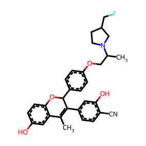 CC1=C(c2ccc(C#N)c(O)c2)C(c2ccc(OCC(C)N3CCC(CF)C3)cc2)Oc2ccc(O)cc21